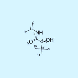 CC(C)NC(=O)[C@@H](O)C(C)(C)C